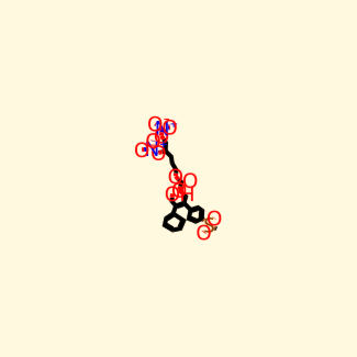 CS(=O)(=O)c1ccc(/C(COC(=O)OCCCC(CO[N+](=O)[O-])O[N+](=O)[O-])=C(/CO)c2ccccc2)cc1